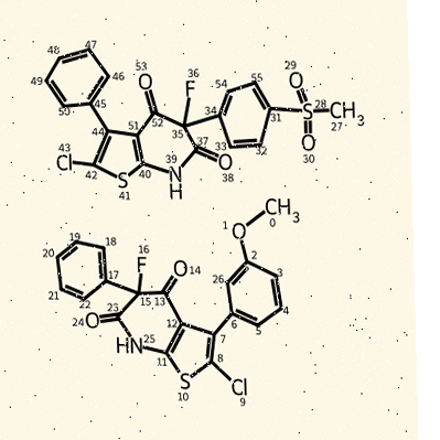 COc1cccc(-c2c(Cl)sc3c2C(=O)C(F)(c2ccccc2)C(=O)N3)c1.CS(=O)(=O)c1ccc(C2(F)C(=O)Nc3sc(Cl)c(-c4ccccc4)c3C2=O)cc1